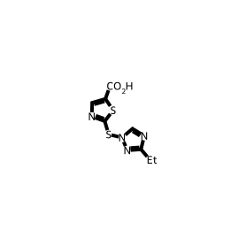 CCc1ncn(Sc2ncc(C(=O)O)s2)n1